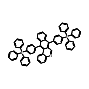 c1ccc([Si](c2ccccc2)(c2ccccc2)c2ccc(-c3c4ccccc4c(-c4ccc([Si](c5ccccc5)(c5ccccc5)c5ccccc5)cc4)c4c3cnc3ccccc34)cc2)cc1